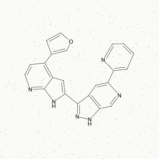 c1ccc(-c2cc3c(-c4cc5c(-c6ccoc6)ccnc5[nH]4)n[nH]c3cn2)nc1